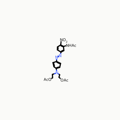 CC(=O)Nc1cc(N=Nc2ccc(N(CCOC(C)=O)CCOC(C)=O)cc2)ccc1[N+](=O)[O-]